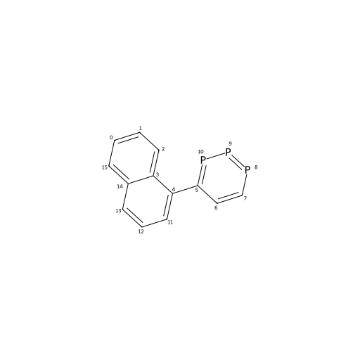 c1ccc2c(-c3ccppp3)cccc2c1